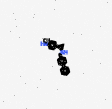 CNc1ccc(C2CC2NCc2ccc(-c3ccccc3)cc2)cc1